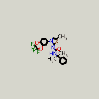 Cc1cn(-c2ccc3c(c2)OC(F)(F)C(F)(F)O3)c(=NC(=O)NC(C)(C)c2ccccc2)s1